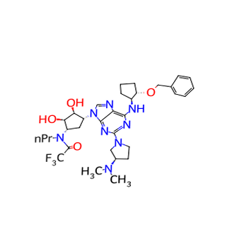 CCCN(C(=O)C(F)(F)F)[C@H]1C[C@@H](n2cnc3c(N[C@H]4CCC[C@@H]4OCc4ccccc4)nc(N4CC[C@@H](N(C)C)C4)nc32)[C@H](O)[C@@H]1O